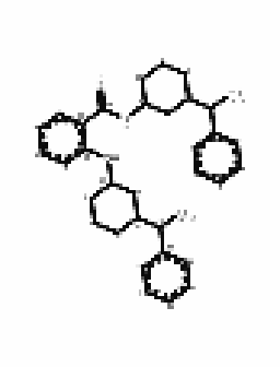 CC(c1ccccc1)C1CCCC(OC(=O)c2ccccc2OC2CCCC(C(C)c3ccccc3)C2)C1